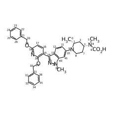 C[C@@H]1C[C@H](N(C)C(=O)O)CCN1c1ccc2c(-c3ccc(OCc4ccccc4)nc3OCc3ccccc3)nn(C)c2c1